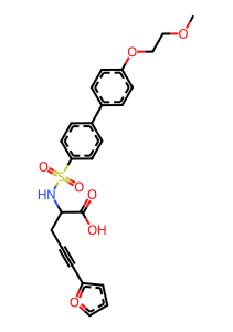 COCCOc1ccc(-c2ccc(S(=O)(=O)NC(CC#Cc3ccco3)C(=O)O)cc2)cc1